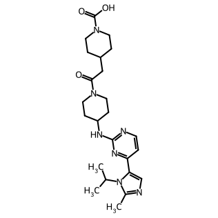 Cc1ncc(-c2ccnc(NC3CCN(C(=O)CC4CCN(C(=O)O)CC4)CC3)n2)n1C(C)C